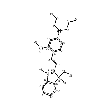 CCCN(CCC)c1ccc(/C=C/C2=[N+](C)c3ccccc3C2(C)CC)c(OC)c1